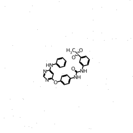 CS(=O)(=O)c1cccc(NC(=O)Nc2ccc(Oc3cc(Nc4ccccc4)ncn3)cc2)c1